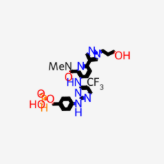 CNC(=O)c1nc(-c2cnn(CCCO)c2)ccc1Nc1nc(Nc2ccc(CO[PH](=O)O)cc2)ncc1C(F)(F)F